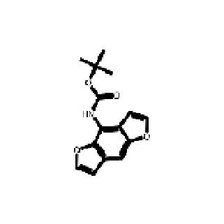 CC(C)(C)OC(=O)Nc1c2ccoc2cc2ccoc12